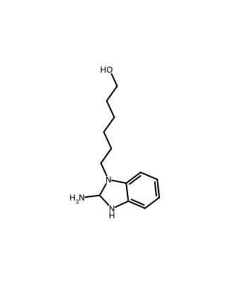 NC1Nc2ccccc2N1CCCCCCO